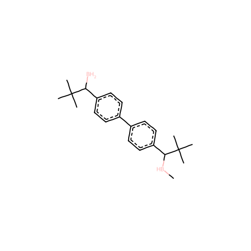 BC(c1ccc(-c2ccc(C(BC)C(C)(C)C)cc2)cc1)C(C)(C)C